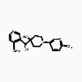 COc1ccncc1C(O)C1(O)CCN(c2ccc(C(F)(F)F)nc2)CC1